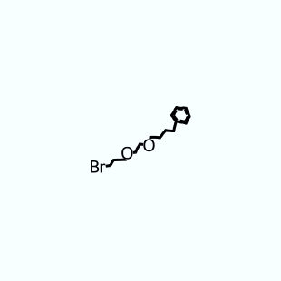 BrCCCOCCOCCCCc1ccccc1